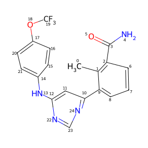 Cc1c(C(N)=O)cccc1-c1cc(Nc2ccc(OC(F)(F)F)cc2)ncn1